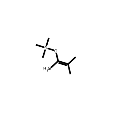 CC(C)=C([SiH3])O[Si](C)(C)C